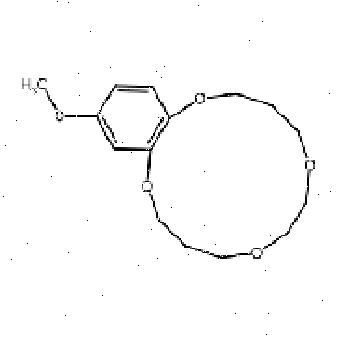 COc1ccc2c(c1)OCCCOCCOCCCO2